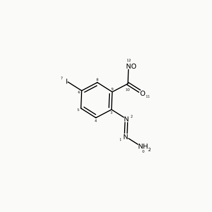 NN=Nc1ccc(I)cc1C(=O)N=O